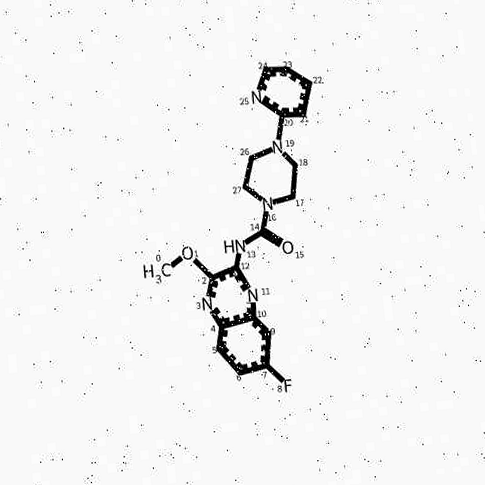 COc1nc2ccc(F)cc2nc1NC(=O)N1CCN(c2ccccn2)CC1